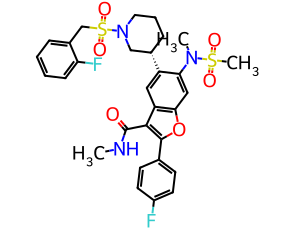 CNC(=O)c1c(-c2ccc(F)cc2)oc2cc(N(C)S(C)(=O)=O)c([C@H]3CCCN(S(=O)(=O)Cc4ccccc4F)C3)cc12